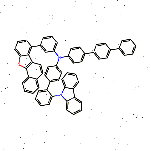 c1ccc(-c2ccc(-c3ccc(N(c4ccc(-c5ccccc5-n5c6ccccc6c6ccccc65)cc4)c4cccc(-c5cccc6oc7c8ccccc8ccc7c56)c4)cc3)cc2)cc1